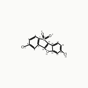 O=S1(=O)c2ccc(Cl)cc2-c2oc3cc(Cl)ccc3c21